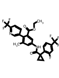 CCOC(=O)c1cc(NC(=O)C2(c3ccc(C(F)(F)F)cc3F)CC2)cc(C)c1-c1ccc(C(F)(F)F)nc1